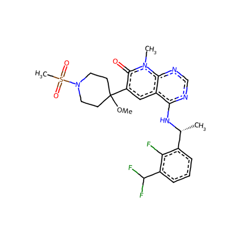 COC1(c2cc3c(N[C@H](C)c4cccc(C(F)F)c4F)ncnc3n(C)c2=O)CCN(S(C)(=O)=O)CC1